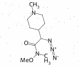 CON(C)C(=O)C(N=[N+]=[N-])C1CCN(C)CC1